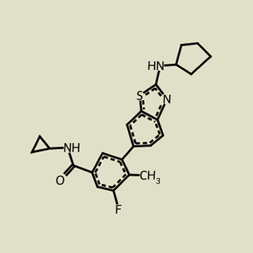 Cc1c(F)cc(C(=O)NC2CC2)cc1-c1ccc2nc(NC3CCCC3)sc2c1